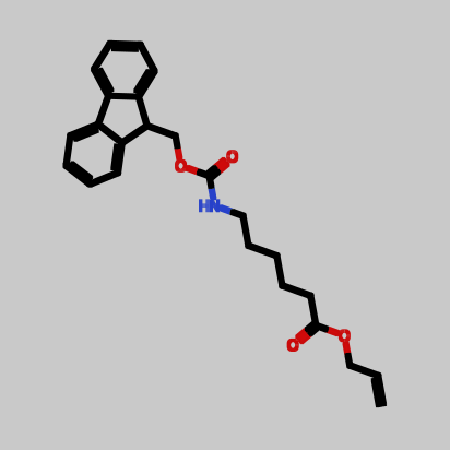 C=CCOC(=O)CCCCCNC(=O)OCC1c2ccccc2-c2ccccc21